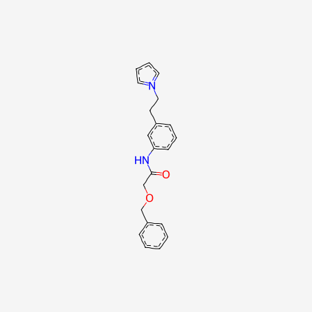 O=C(COCc1ccccc1)Nc1cccc(CCn2cccc2)c1